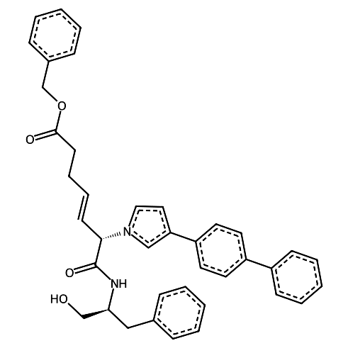 O=C(CCC=C[C@@H](C(=O)N[C@H](CO)Cc1ccccc1)n1ccc(-c2ccc(-c3ccccc3)cc2)c1)OCc1ccccc1